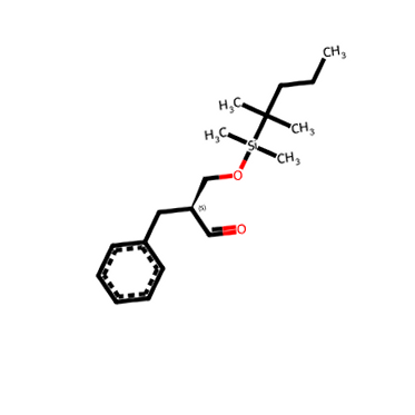 CCCC(C)(C)[Si](C)(C)OC[C@@H](C=O)Cc1ccccc1